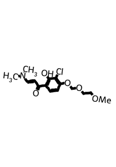 COCCOCOc1ccc(C(=O)/C=C/N(C)C)c(O)c1Cl